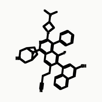 CN(C)C1CN(c2nc(N3C4CCC3CNC4)c3cc(CCC#N)c(-c4cc(O)cc5ccccc45)c(F)c3c2-c2ccccc2)C1